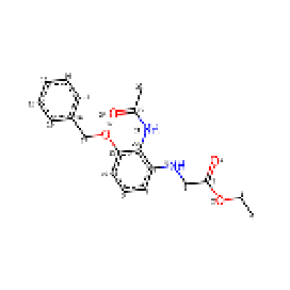 CCOC(=O)CNc1cccc(OCc2ccccc2)c1NC(C)=O